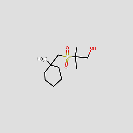 CC(C)(CO)S(=O)(=O)CC1(C(=O)O)CCCCC1